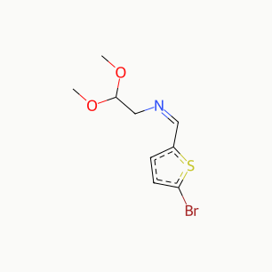 COC(C/N=C\c1ccc(Br)s1)OC